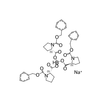 O=C(O[BH-](OC(=O)[C@@H]1CCCN1C(=O)OCc1ccccc1)OC(=O)[C@@H]1CCCN1C(=O)OCc1ccccc1)[C@@H]1CCCN1C(=O)OCc1ccccc1.[Na+]